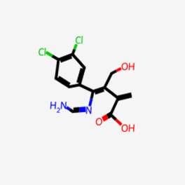 C=C(C(=O)O)/C(CO)=C(\N=C/N)c1ccc(Cl)c(Cl)c1